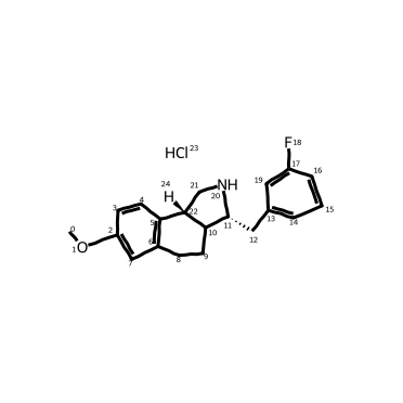 COc1ccc2c(c1)CCC1[C@@H](Cc3cccc(F)c3)NC[C@@H]21.Cl